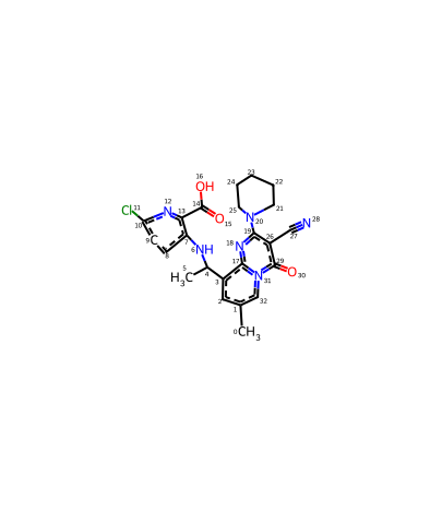 Cc1cc(C(C)Nc2ccc(Cl)nc2C(=O)O)c2nc(N3CCCCC3)c(C#N)c(=O)n2c1